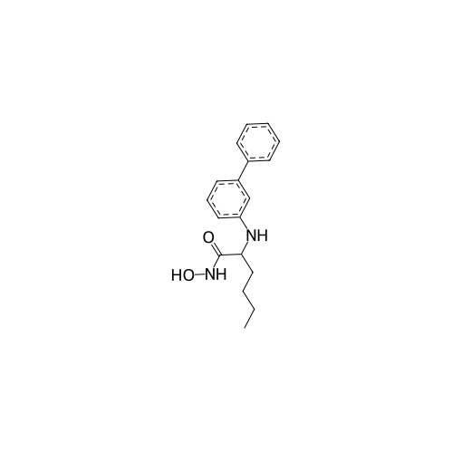 CCCCC(Nc1cccc(-c2ccccc2)c1)C(=O)NO